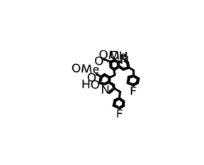 COC(=O)c1cc(Cc2cc(C(=O)OC)c(O)c3ncc(Cc4ccc(F)cc4)cc23)c2cc(Cc3ccc(F)cc3)cnc2c1O